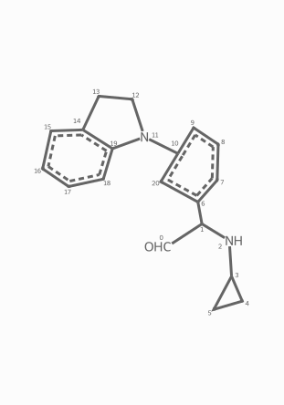 O=CC(NC1CC1)c1cccc(N2CCc3ccccc32)c1